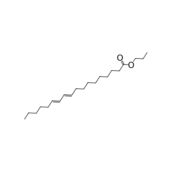 CCCCCC=CC=CCCCCCCCCC(=O)OCCC